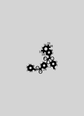 Cc1ccc(OC(C(=O)Oc2ccc(C(=O)OCc3ccccc3)cc2)c2ccc3c(c2)C(C)(C)CCC3(C)C)cc1